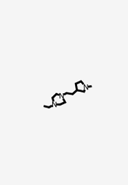 CCN1CCN(CCC2CCN(C)C2)CC1